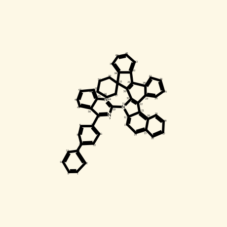 c1ccc(-c2ccc(-c3nc(-n4c5ccc6ccccc6c5c5c6ccccc6c6c(c54)C4(CCCCC4)c4ccccc4-6)nc4ccccc34)cc2)cc1